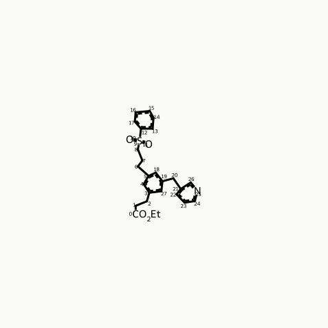 CCOC(=O)CCc1cc(CCCS(=O)(=O)c2ccccc2)cc(Cc2cccnc2)c1